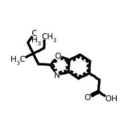 CCC(C)(CC)Cc1nc2cc(CC(=O)O)ccc2o1